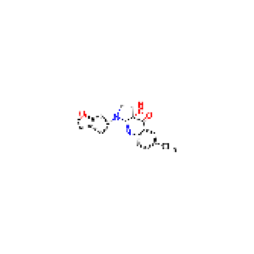 Cc1ccc2c(c1)C(=O)C1(O)CCN(c3ccc4ccoc4c3)C1=N2